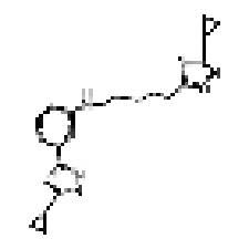 c1cc(NCCCCCc2nc(C3CC3)no2)cc(-c2nnc(C3CC3)o2)c1